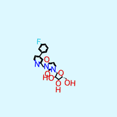 O=c1ccn([C@@H]2O[C@H](CO)C(O)C2O)c(=O)n1Cc1cc(-c2cccc(F)c2)ccn1